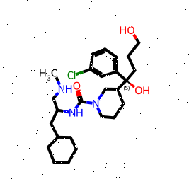 CNCC(CC1CCCCC1)NC(=O)N1CCCC([C@@](O)(CCCO)c2cccc(Cl)c2)C1